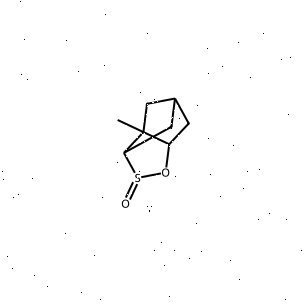 CC12CC3CC1OS(=O)C2C3